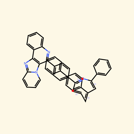 C1=C(c2ccc(-c3ccccc3)cc2)/C=C(c2ccccc2)\N=C(c2ccc(-c3nc4ccccc4c4nc5ccccn5c34)cc2)/C=C/1